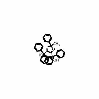 CC1(c2ccccc2)O[C@H](C(O)(c2ccccc2)c2ccccc2)[C@@H](C(O)(c2ccccc2)c2ccccc2)O1